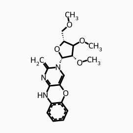 C=C1N=C2Nc3ccccc3OC2=CN1[C@@H]1O[C@H](COC)C(OC)[C@@H]1OC